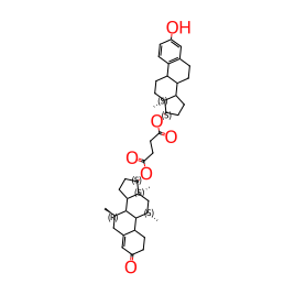 C[C@@H]1CC2=CC(=O)CCC2C2C1C1CC[C@H](OC(=O)CCC(=O)O[C@H]3CCC4C5CCc6cc(O)ccc6C5CC[C@@]43C)[C@@]1(C)C[C@@H]2C